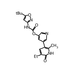 CCc1cc(-c2cncc(OC(=O)Nc3cc(C(C)(C)C)on3)c2)c(C)[nH]c1=O